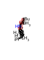 CC(C)CCCC(C)C1CCC2C3CC=C4CC(OC(=O)NCCC(=O)OC(C)CCOC(C)(C)C)CCC4(C)C3CCC12C